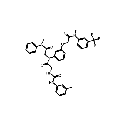 Cc1cccc(NC(=O)NCC(=O)N(CC(=O)N(C)c2ccccc2)c2cccc(OCC(=O)N(C)c3cccc(C(F)(F)F)c3)c2)c1